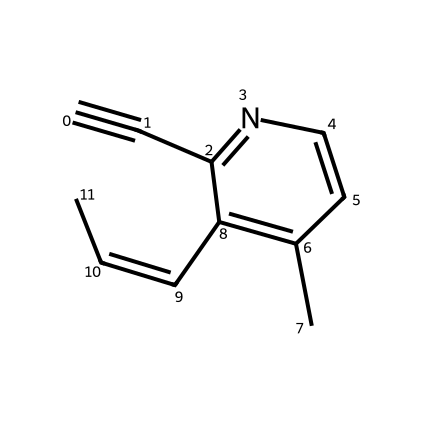 C#Cc1nccc(C)c1/C=C\C